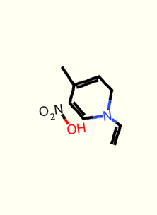 C=CN1C=CC(C)=CC1.O=[N+]([O-])O